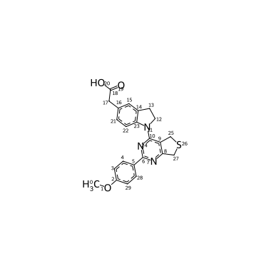 COc1ccc(-c2nc3c(c(N4CCc5cc(CC(=O)O)ccc54)n2)CSC3)cc1